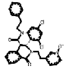 O=C(NCCc1ccccc1)[C@@H]1c2ccccc2C(=O)N(CCc2ccc[n+]([O-])c2)[C@H]1c1ccc(Cl)cc1Cl